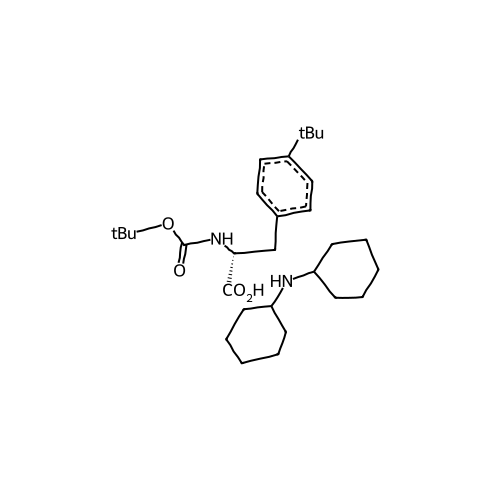 C1CCC(NC2CCCCC2)CC1.CC(C)(C)OC(=O)N[C@H](Cc1ccc(C(C)(C)C)cc1)C(=O)O